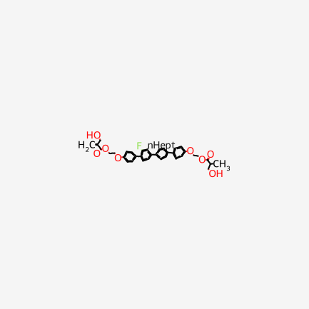 C=C(CO)C(=O)OCCOc1ccc(-c2ccc(-c3ccc(-c4ccc(OCCOC(=O)C(C)CO)cc4)cc3)c(CCCCCCC)c2F)cc1